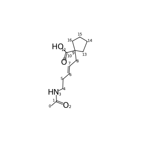 CC(=O)NCCC=CCC1(C(=O)O)CCCC1